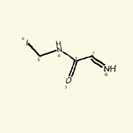 N=CC(=O)NCI